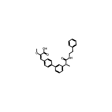 CO/C(=C/c1ccc(-c2cccc(N(C)C(=O)NCCc3ccccc3)c2)cc1)C(=O)O